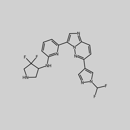 FC(F)n1cc(-c2ccc3ncc(-c4cccc(NC5CNCC5(F)F)n4)n3n2)cn1